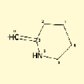 [CH]=C1CCCCN1